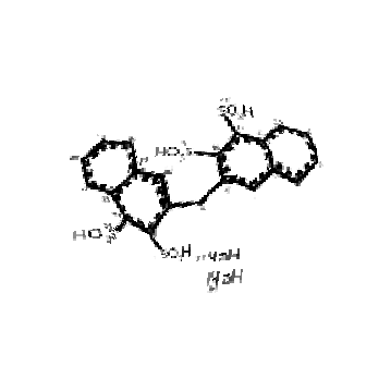 O=S(=O)(O)c1c(Cc2cc3ccccc3c(S(=O)(=O)O)c2S(=O)(=O)O)cc2ccccc2c1S(=O)(=O)O.[NaH].[NaH]